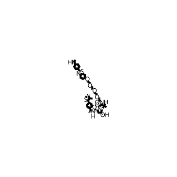 CNc1ccc(-c2nc3ccc(OCCOCCOCCOCC(=O)N[C@H](C(=O)N4C[C@H](O)C[C@H]4C(=O)N[C@@H](C)c4ccc(-c5scnc5C)cc4)C(C)(C)C)cc3s2)cc1